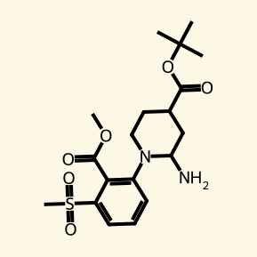 COC(=O)c1c(N2CCC(C(=O)OC(C)(C)C)CC2N)cccc1S(C)(=O)=O